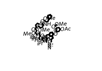 CCC(C)[C@@H]([C@@H](CC(=O)N1CCC[C@H]1[C@H](OC)[C@@H](C)C(=O)NC(Cc1ccccc1)C(=O)OC)OC)N(C)C(=O)[C@@H](NC(=O)[C@H](C(C)C)N(C)C(=O)OCc1ccc(O[C@H]2C[C@@H](OC(C)=O)C[C@@H](C(=O)OC)O2)c2cc(CN=[N+]=[N-])sc12)C(C)C